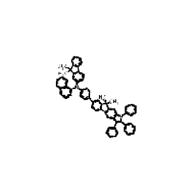 CC1(C)c2ccccc2-c2ccc(N(c3ccc(-c4ccc5c(c4)C(C)(C)c4cc6c(cc4-5)c(-c4ccccc4)c(-c4ccccc4)n6-c4ccccc4)cc3)c3cccc4ccccc34)cc21